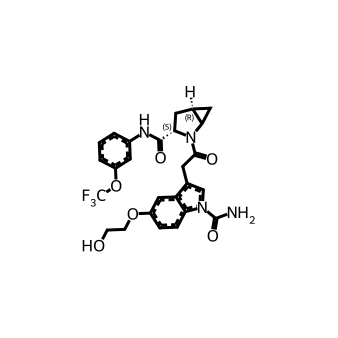 NC(=O)n1cc(CC(=O)N2C3C[C@@H]3C[C@H]2C(=O)Nc2cccc(OC(F)(F)F)c2)c2cc(OCCO)ccc21